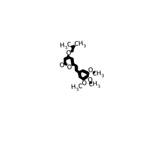 COc1cc(C=Cc2cc(OCC(C)C)cc(=O)o2)cc(OC)c1OC